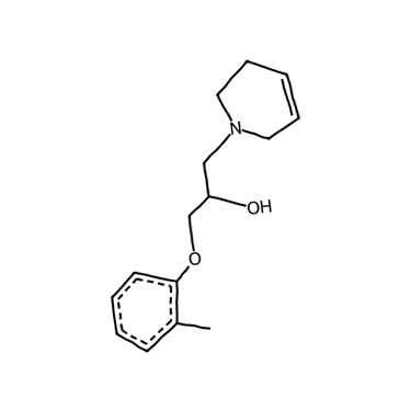 Cc1ccccc1OCC(O)CN1CC=CCC1